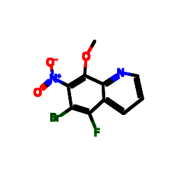 COc1c([N+](=O)[O-])c(Br)c(F)c2cccnc12